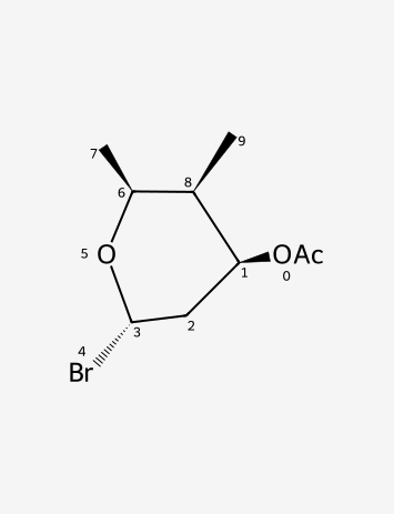 CC(=O)O[C@H]1C[C@H](Br)O[C@@H](C)[C@H]1C